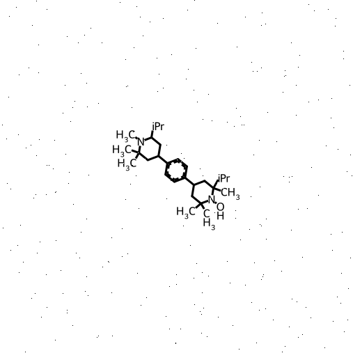 CC(C)C1CC(c2ccc(C3CC(C)(C)N(O)C(C)(C(C)C)C3)cc2)CC(C)(C)N1C